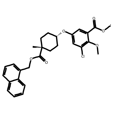 COc1c(Cl)cc(O[C@H]2CC[C@@](C)(C(=O)OCc3cccc4ccccc34)CC2)cc1C(=O)OI